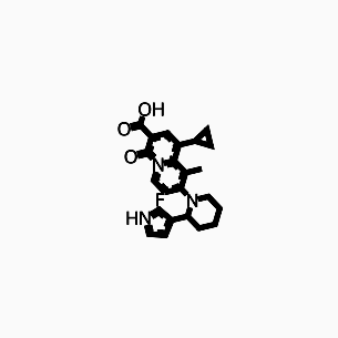 Cc1c(N2CCCCC2c2cc[nH]c2)c(F)cn2c(=O)c(C(=O)O)cc(C3CC3)c12